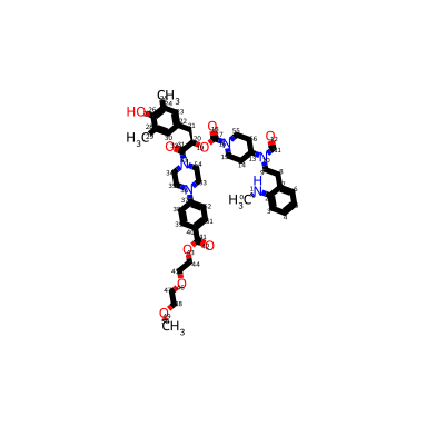 CNc1ccccc1CCN(C=O)C1CCN(C(=O)O[C@H](Cc2cc(C)c(O)c(C)c2)C(=O)N2CCN(c3ccc(C(=O)OCCOCCOC)cc3)CC2)CC1